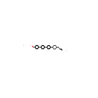 C/C=C/CC1CCC(c2ccc(-c3ccc(-c4ccc(COC)cc4)cc3)cc2)CC1